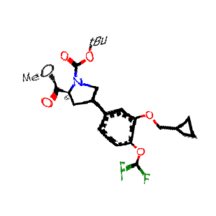 COC(=O)[C@@H]1CC(c2ccc(OC(F)F)c(OCC3CC3)c2)CN1C(=O)OC(C)(C)C